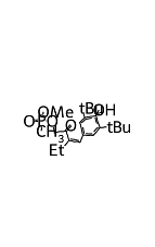 CCC(=Cc1cc(C(C)(C)C)c(O)c(C(C)(C)C)c1)C(=O)COP(C)(=O)OC